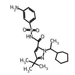 CC(C1CCCCC1)n1nc(C(C)(C)C)cc1C(=O)NS(=O)(=O)c1cccc(N)c1